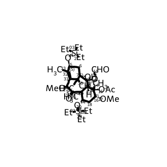 CC[Si](CC)(CC)O[C@H]1C[C@@]2(O)[C@@H](OC=O)[C@@H]3[C@@](C)(OC(C)=O)[C@H](OC)C[C@H](O[Si](CC)(CC)CC)[C@@]3(C)C(=O)[C@H](OC)C(=C1C)C2(C)C